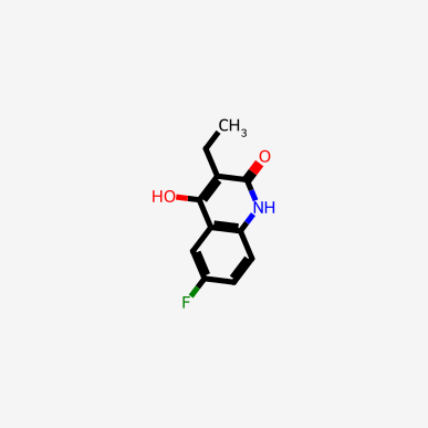 CCc1c(O)c2cc(F)ccc2[nH]c1=O